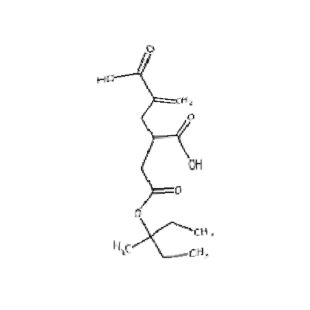 C=C(CC(CC(=O)OC(C)(CC)CC)C(=O)O)C(=O)O